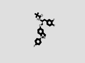 CC(C)(C)C(=O)N[C@H](COc1ccc2c(cnn2-c2ccc(F)cc2)c1)Cc1ccc(F)c(F)c1